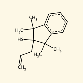 C=CCC1(S)C(C)(C)c2ccccc2C1(C)C